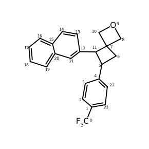 FC(F)(F)c1ccc(C2CC3(COC3)C2c2ccc3ccccc3c2)cc1